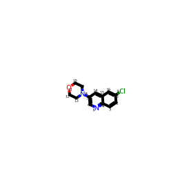 Clc1ccc2ncc(N3CCOCC3)cc2c1